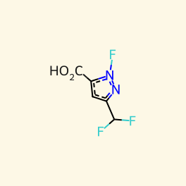 O=C(O)c1cc(C(F)F)nn1F